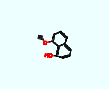 CCOc1cccc2cccc(O)c12